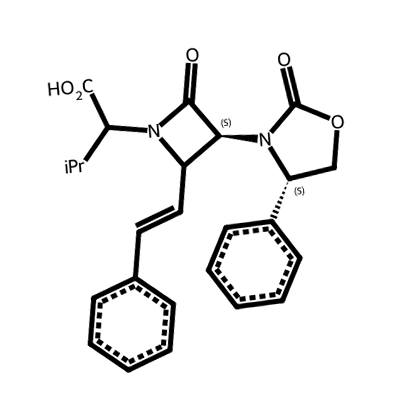 CC(C)C(C(=O)O)N1C(=O)[C@@H](N2C(=O)OC[C@@H]2c2ccccc2)C1C=Cc1ccccc1